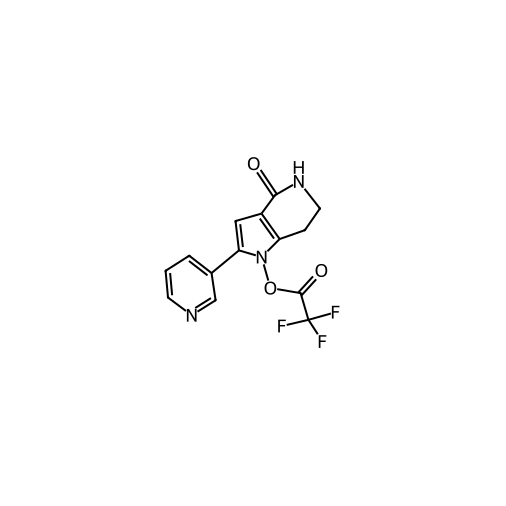 O=C1NCCc2c1cc(-c1cccnc1)n2OC(=O)C(F)(F)F